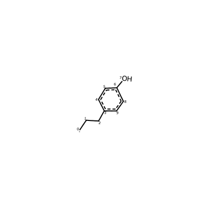 [CH2]CCc1ccc(O)cc1